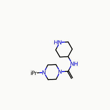 C=C(NC1CCNCC1)N1CCN(C(C)C)CC1